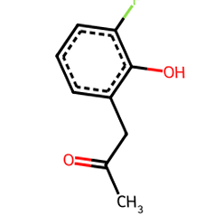 CC(=O)Cc1cccc(F)c1O